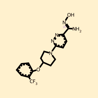 N/C(=N\O)c1ccc(N2CCC(Oc3ccccc3C(F)(F)F)CC2)nn1